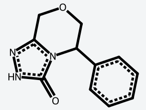 O=c1[nH]nc2n1C(c1ccccc1)COC2